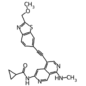 CNc1ncc(C#Cc2ccc3nc(COC)sc3c2)c2cc(NC(=O)C3CC3)ncc12